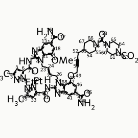 CCn1nc(C)cc1C(=O)Nc1nc2cc(C(N)=O)cc(OC)c2n1CC=CCn1c(NC(=O)c2cc(C)nn2CC)nc2cc(C(N)=O)cc(OCC#CCC3CCN(C(=O)N4CCN(C(=O)O)CC4)CC3)c21